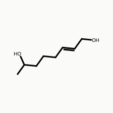 CC(O)CCCC=CCO